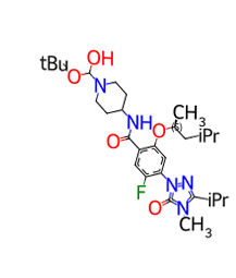 CC(C)C[C@H](C)Oc1cc(-n2nc(C(C)C)n(C)c2=O)c(F)cc1C(=O)NC1CCN(C(O)OC(C)(C)C)CC1